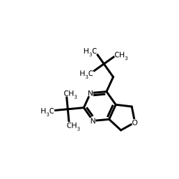 CC(C)(C)Cc1nc(C(C)(C)C)nc2c1COC2